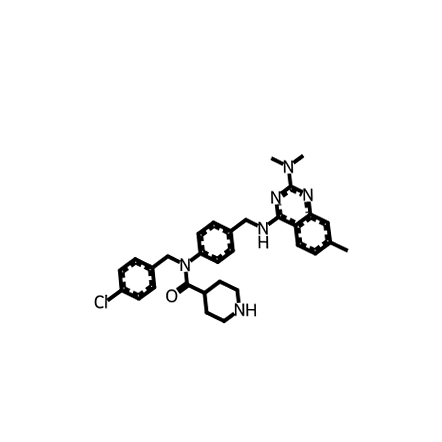 Cc1ccc2c(NCc3ccc(N(Cc4ccc(Cl)cc4)C(=O)C4CCNCC4)cc3)nc(N(C)C)nc2c1